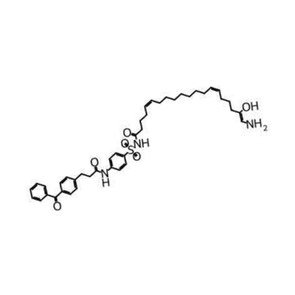 N/C=C(\O)CCC/C=C\CCCCCCC/C=C\CCCC(=O)NS(=O)(=O)c1ccc(NC(=O)CCc2ccc(C(=O)c3ccccc3)cc2)cc1